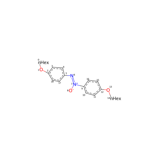 CCCCCCOc1ccc(N=[N+]([O-])c2ccc(OCCCCCC)cc2)cc1